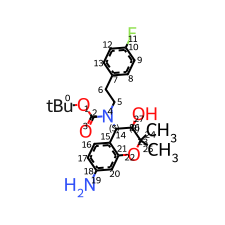 CC(C)(C)OC(=O)N(CCc1ccc(F)cc1)[C@H]1c2ccc(N)cc2OC(C)(C)[C@@H]1O